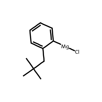 CC(C)(C)Cc1cccc[c]1[Mg][Cl]